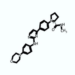 CNC(=O)[C@H]1CCCN1c1ccc(-c2ccnc(Nc3ccc(N4CCOCC4)cc3)n2)cc1